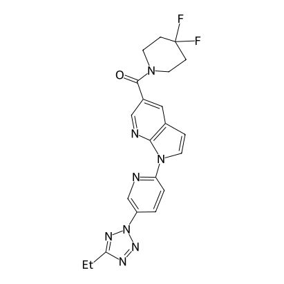 CCc1nnn(-c2ccc(-n3ccc4cc(C(=O)N5CCC(F)(F)CC5)cnc43)nc2)n1